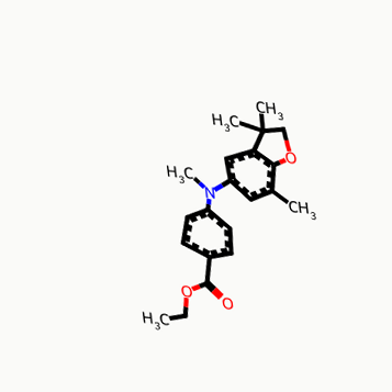 CCOC(=O)c1ccc(N(C)c2cc(C)c3c(c2)C(C)(C)CO3)cc1